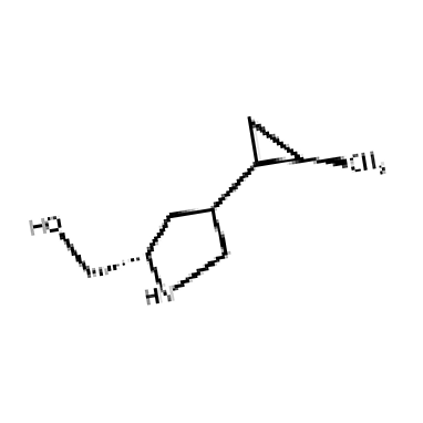 C[C@@H]1CC1C1CN[C@H](CO)C1